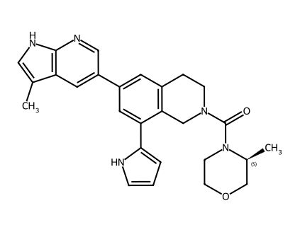 Cc1c[nH]c2ncc(-c3cc4c(c(-c5ccc[nH]5)c3)CN(C(=O)N3CCOC[C@@H]3C)CC4)cc12